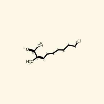 CC(=CCCCCCCCl)C(=O)O